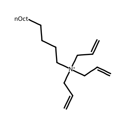 C=CC[N+](CC=C)(CC=C)CCCCCCCCCCCC